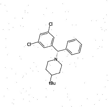 CC(C)(C)C1CCN([C@@H](c2ccccc2)c2cc(Cl)cc(Cl)c2)CC1